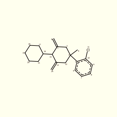 C=C1CC(C)(c2ccccc2Cl)CC(=C)C1C1CCCCC1